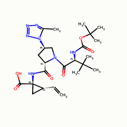 C=C[C@@H]1C[C@]1(NC(=O)[C@@H]1C[C@@H](n2nnnc2C)CN1C(=O)[C@@H](NC(=O)OC(C)(C)C)C(C)(C)C)C(=O)O